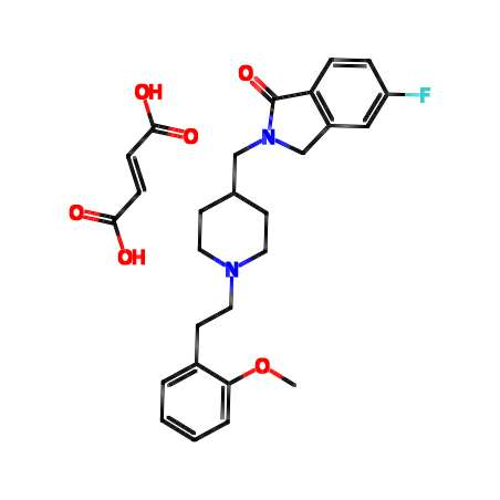 COc1ccccc1CCN1CCC(CN2Cc3cc(F)ccc3C2=O)CC1.O=C(O)C=CC(=O)O